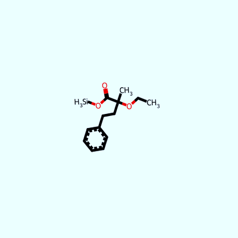 CCOC(C)(CCc1ccccc1)C(=O)O[SiH3]